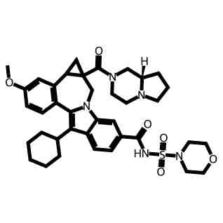 COc1ccc2c(c1)C1CC1(C(=O)N1CCN3CCC[C@H]3C1)Cn1c-2c(C2CCCCC2)c2ccc(C(=O)NS(=O)(=O)N3CCOCC3)cc21